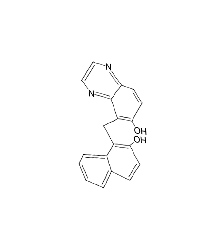 Oc1ccc2ccccc2c1Cc1c(O)ccc2nccnc12